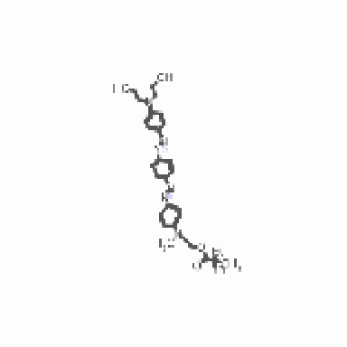 CCCC(C)(CC)C(=O)OCCN(C)c1ccc(/N=N/c2ccc(/N=N/c3ccc(N(CCO)CCO)cc3)cc2)cc1